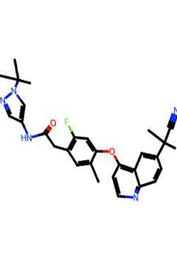 Cc1cc(CC(=O)Nc2cnn(C(C)(C)C)c2)c(F)cc1Oc1ccnc2ccc(C(C)(C)C#N)cc12